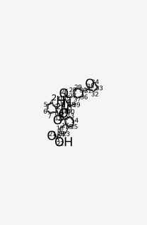 [2H]C([2H])(c1ccccc1S(=O)(=O)c1cccc2c1C[C@@H](C(=O)O)C2)N(C(=O)c1ccc(-c2ccco2)cc1)C(C)C